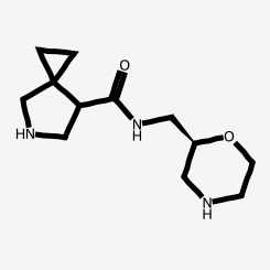 O=C(NC[C@@H]1CNCCO1)C1CNCC12CC2